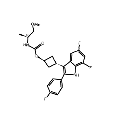 COC[C@H](C)NC(=O)O[C@H]1C[C@H](c2c(-c3ccc(F)cc3)[nH]c3c(F)cc(F)cc32)C1